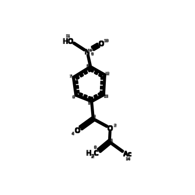 C=C(OC(=O)c1ccc([N+](=O)O)cc1)C(C)=O